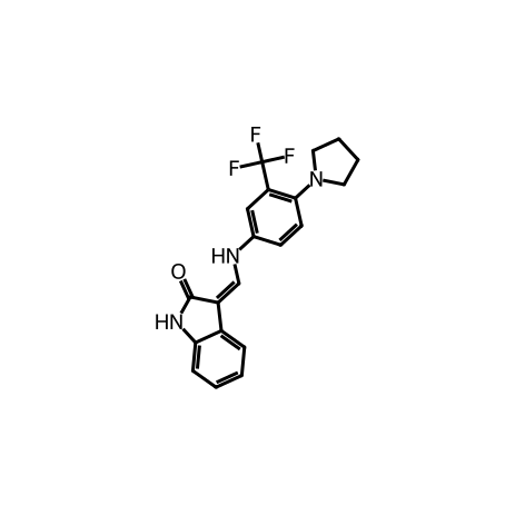 O=C1Nc2ccccc2C1=CNc1ccc(N2CCCC2)c(C(F)(F)F)c1